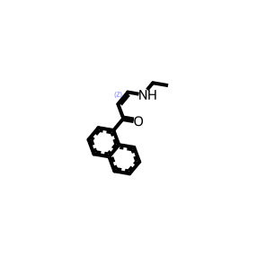 CCN/C=C\C(=O)c1cccc2ccccc12